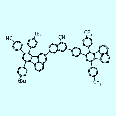 CC(C)(C)c1ccc(-c2cc(-c3ccc(C#N)cc3)c(-c3ccc(C(C)(C)C)cc3)c3c2-c2cccc4cc(-c5ccc6c(C#N)cc(-c7ccc(-c8cc(-c9ccc(C(F)(F)F)cc9)c9c(c8-c8ccc(C(F)(F)F)cc8)-c8cccc%10cccc-9c8%10)cc7)cc6c5)cc-3c24)cc1